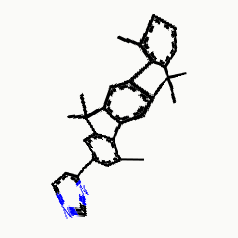 Cc1cccc2c1-c1cc3c(cc1C2(C)C)-c1c(C)cc(-c2ccncn2)cc1C3(C)C